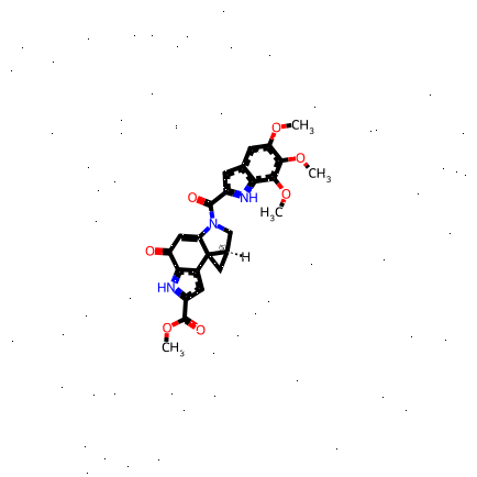 COC(=O)c1cc2c([nH]1)C(=O)C=C1N(C(=O)c3cc4cc(OC)c(OC)c(OC)c4[nH]3)C[C@H]3CC123